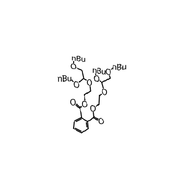 CCCCOCC(OCCCC)OCCOC(=O)c1ccccc1C(=O)OCCOC(COCCCC)OCCCC